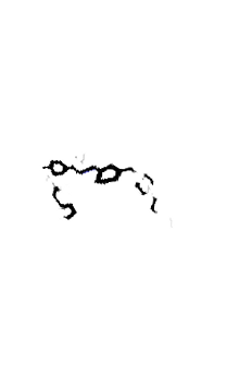 Cc1ccc(C(=N)/C=C/c2cccc(CN3CCN(CCO)CC3)c2)cc1NC(=O)Cc1cccs1